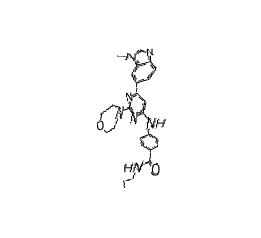 CCCNC(=O)c1ccc(Nc2cc(-c3ccc4ncn(C)c4c3)nc(N3CCOCC3)n2)cc1